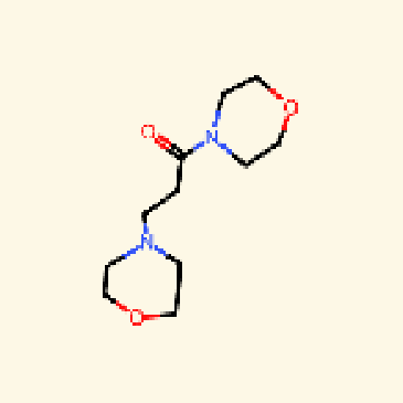 O=C(CCN1CCOCC1)N1CCOCC1